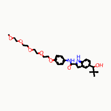 COCCOCCOCCOCCOc1ccc(NC(=O)c2cc3cc(C(O)C(C)(C)C)ccc3[nH]2)cc1